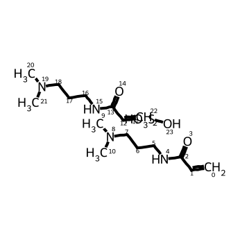 C=CC(=O)NCCCN(C)C.C=CC(=O)NCCCN(C)C.O=S(=O)(O)O